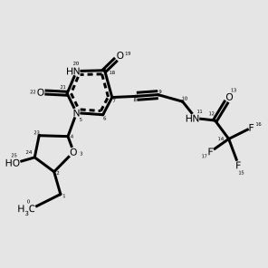 CCC1OC(n2cc(C#CCNC(=O)C(F)(F)F)c(=O)[nH]c2=O)CC1O